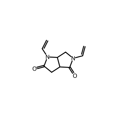 C=CN1CC2C(CC(=O)N2C=C)C1=O